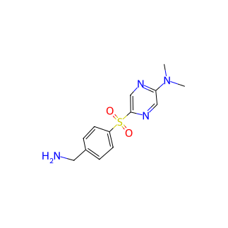 CN(C)c1cnc(S(=O)(=O)c2ccc(CN)cc2)cn1